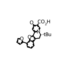 CC(C)(C)[C@@H]1Cc2c(oc3c(-c4ccco4)cccc23)-c2cc(=O)c(C(=O)O)cn21